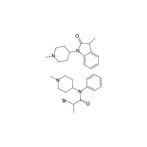 CC(Br)C(=O)N(c1ccccc1)C1CCN(C)CC1.CC1C(=O)N(C2CCN(C)CC2)c2ccccc21